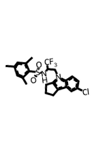 Cc1cc(C)c(S(=O)(=O)NC(Cn2c3c(c4cc(Cl)ccc42)CCC3)C(F)(F)F)c(C)c1